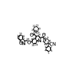 N#CC1(c2ccccc2)CCN(C(=O)c2cc(C(=O)N3CCCCC3)c3cc(OCc4noc5ccccc45)ccc3n2)CC1